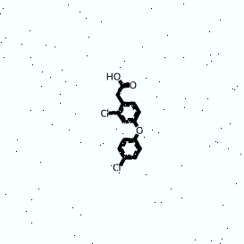 O=C(O)Cc1ccc(Oc2ccc(Cl)cc2)cc1Cl